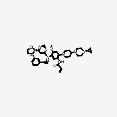 C#Cc1cccc([C@H]2CCON2c2cc(Nc3cc(NC(=O)C=C)c(N4CCC(N5CCN(C6CC6)CC5)CC4)cc3OC)ncn2)c1